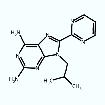 CC(C)Cn1c(-c2ncccn2)nc2c(N)nc(N)nc21